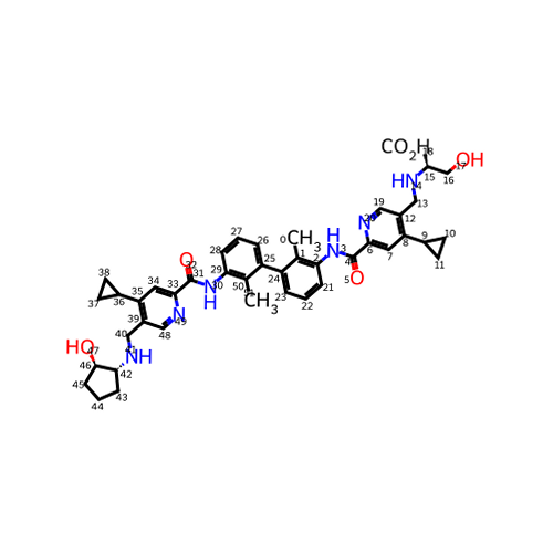 Cc1c(NC(=O)c2cc(C3CC3)c(CN[C@H](CO)C(=O)O)cn2)cccc1-c1cccc(NC(=O)c2cc(C3CC3)c(CN[C@@H]3CCC[C@H]3O)cn2)c1C